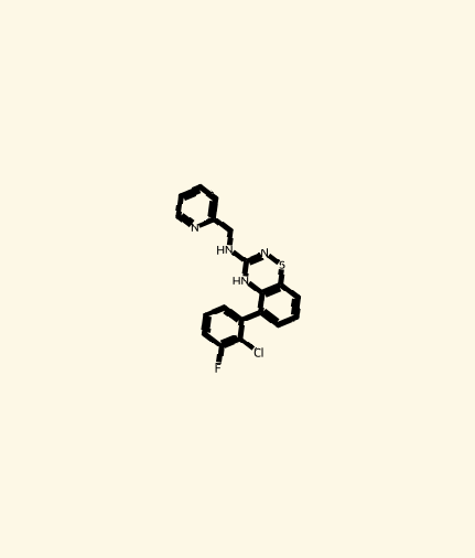 Fc1cccc(-c2cccc3c2NC(NCc2ccccn2)=NS3)c1Cl